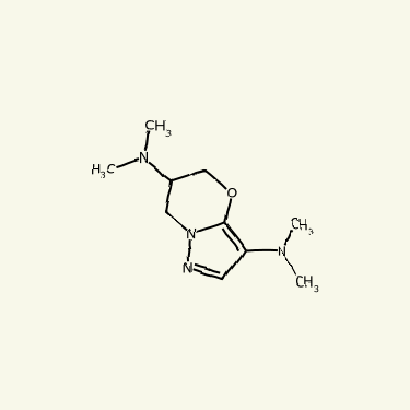 CN(C)c1cnn2c1OCC(N(C)C)C2